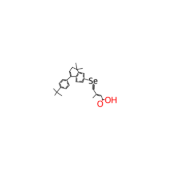 C/C(C#C[Se]c1ccc2c(c1)C(C)(C)CC=C2c1ccc(C(C)(C)C)cc1)=C\C(=O)O